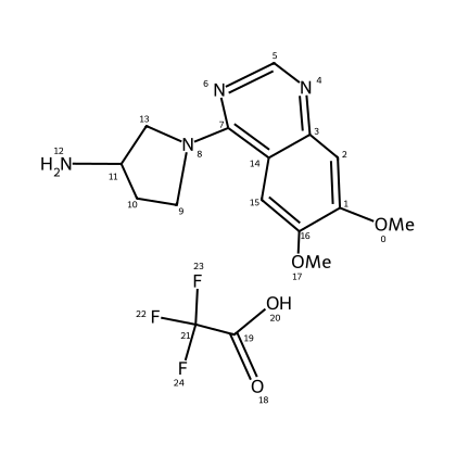 COc1cc2ncnc(N3CCC(N)C3)c2cc1OC.O=C(O)C(F)(F)F